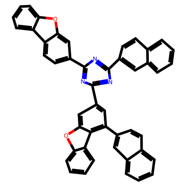 c1ccc2cc(-c3nc(-c4ccc5c(c4)oc4ccccc45)nc(-c4cc(-c5ccc6ccccc6c5)c5c(c4)oc4ccccc45)n3)ccc2c1